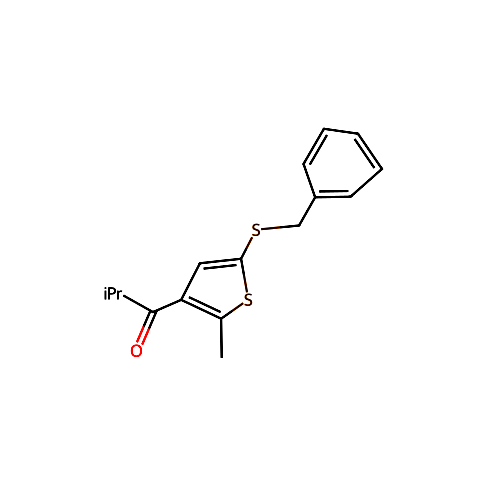 Cc1sc(SCc2ccccc2)cc1C(=O)C(C)C